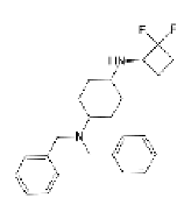 FC1(F)CC[C@H]1NC1CCC(N(Cc2ccccc2)Cc2ccccc2)CC1